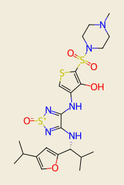 CC(C)c1coc([C@H](Nc2n[s+]([O-])nc2Nc2csc(S(=O)(=O)N3CCN(C)CC3)c2O)C(C)C)c1